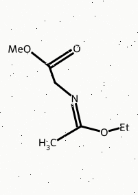 CCOC(C)=NCC(=O)OC